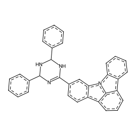 c1ccc(C2N=C(c3ccc4c5cccc6c7ccccc7n(c4c3)c65)NC(c3ccccc3)N2)cc1